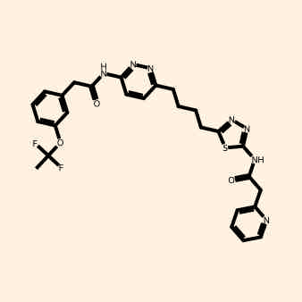 CC(F)(F)Oc1cccc(CC(=O)Nc2ccc(CCCCc3nnc(NC(=O)Cc4ccccn4)s3)nn2)c1